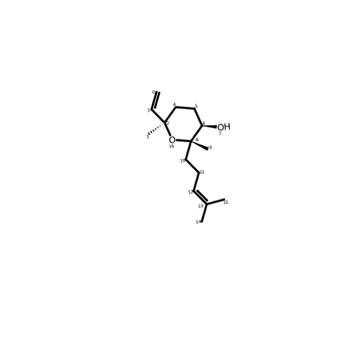 C=C[C@@]1(C)CC[C@@H](O)[C@](C)(CCC=C(C)C)O1